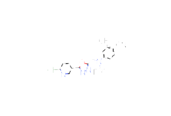 N#Cc1ccc(N(Cc2nnc(-c3ccc(Cl)nc3)o2)CC(F)(F)F)cc1C(F)(F)F